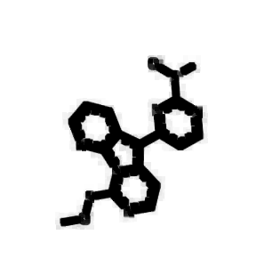 COSc1nccc2c(-c3ccnc([S+](C)[O-])n3)c3cccnc3n12